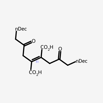 CCCCCCCCCCCC(=O)C/C(C(=O)O)=C(/CC(=O)CCCCCCCCCCC)C(=O)O